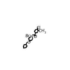 Cc1cc(C(=O)C[n+]2ccc(OCc3ccccc3)cc2)ccc1Cl.[Br-]